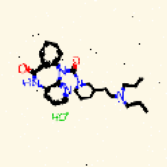 CCCN(CCC)CCC1CCCN(C(=O)N2c3ccccc3C(=O)Nc3cccnc32)C1.Cl